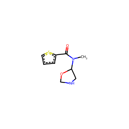 CN(C(=O)c1cccs1)C1CNCO1